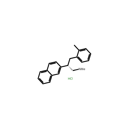 CNC[C@@H](Cc1ccccc1C)c1ccc2ccccc2c1.Cl